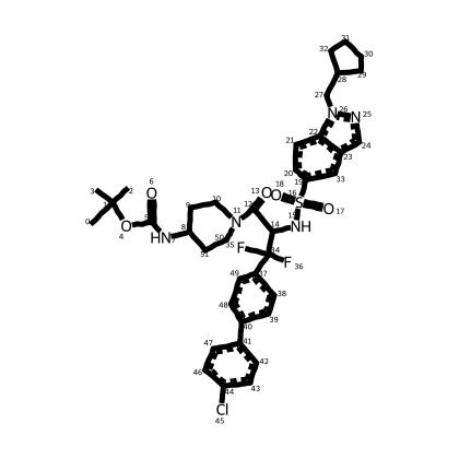 CC(C)(C)OC(=O)NC1CCN(C(=O)C(NS(=O)(=O)c2ccc3c(cnn3CC3CCCC3)c2)C(F)(F)c2ccc(-c3ccc(Cl)cc3)cc2)CC1